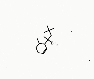 BC(C)(CC(C)(C)C)C1C=CCCC1C